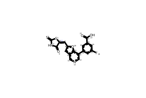 O=C1NC(=S)S/C1=C/c1cc2cncc(-c3cc(F)cc(C(=O)O)c3)c2o1